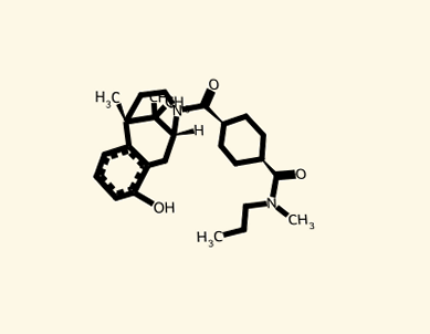 CCCN(C)C(=O)[C@H]1CC[C@@H](C(=O)N2CC[C@@]3(C)c4cccc(O)c4C[C@@H]2C3(C)C)CC1